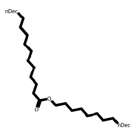 CCCCCCCCCCCCCCCCCCCCC(=O)OCCCCCCCCCCCCCCCCCC